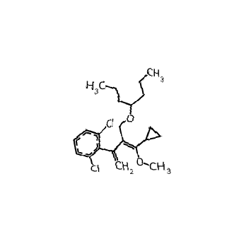 C=C(/C(COC(CCC)CCC)=C(\OC)C1CC1)c1c(Cl)cccc1Cl